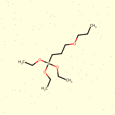 CCCOCCC[Si](OCC)(OCC)OCC